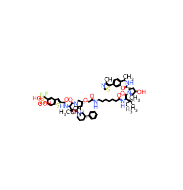 Cc1ncsc1-c1ccc(C(C)NC(=O)[C@@H]2C[C@@H](O)CN2C(=O)C(NC(=O)CCCCCCNC(=O)CO[C@H]2C[C@@H](C(=O)N3CCC[C@H](c4ccccc4)C3)N(C(=O)C(NC(=O)c3cc4cc(C(F)(F)P(=O)(O)O)ccc4s3)C(C)(C)C)C2)C(C)(C)C)cc1